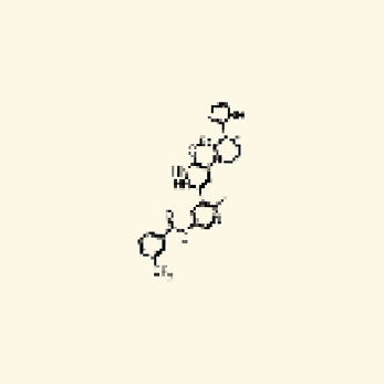 CCOC1=C(N2CCOC(c3ncc[nH]3)C2)C=C(c2cc(NC(=O)c3cccc(C(F)(F)F)c3)cnc2C)NN1